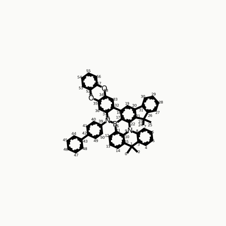 CC1(C)c2ccccc2N2c3c(cccc31)B1c3c(cc4c(c32)C(C)(C)c2ccccc2-4)-c2cc3c(cc2N1c1ccc(-c2ccccc2)cc1)Oc1ccccc1O3